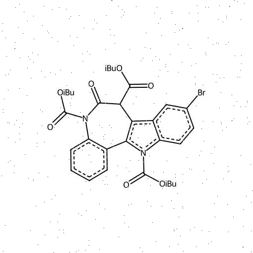 CC(C)COC(=O)C1C(=O)N(C(=O)OCC(C)C)c2ccccc2-c2c1c1cc(Br)ccc1n2C(=O)OCC(C)C